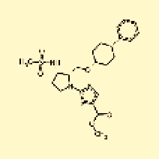 COC(=O)c1cnc(N2CC[C@H](NS(C)(=O)=O)[C@@H]2CO[C@H]2CC[C@@H](c3ccccc3)CC2)s1